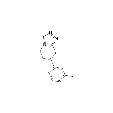 Cc1ccnc(N2CCn3cnnc3C2)c1